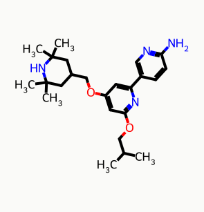 CC(C)COc1cc(OCC2CC(C)(C)NC(C)(C)C2)cc(-c2ccc(N)nc2)n1